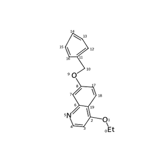 CCOc1ccnc2cc(OCc3ccccc3)ccc12